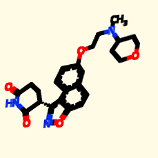 CN(CCOc1ccc2c(ccc3onc([C@H]4CCC(=O)NC4=O)c32)c1)C1CCOCC1